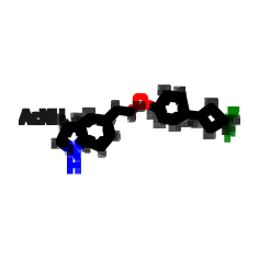 CC(=O)Nc1c[nH]c2ccc(CCOc3ccc(C4CC(F)(F)C4)cc3)cc12